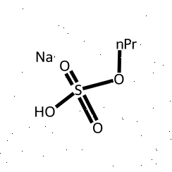 CCCOS(=O)(=O)O.[Na]